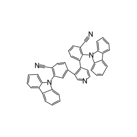 N#Cc1ccc(-c2cnccc2-c2cccc(C#N)c2-n2c3ccccc3c3ccccc32)cc1-n1c2ccccc2c2ccccc21